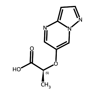 C[C@H](Oc1cnc2ccnn2c1)C(=O)O